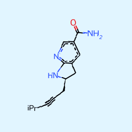 CC(C)C#CC[C@@H]1Cc2cc(C(N)=O)cnc2N1